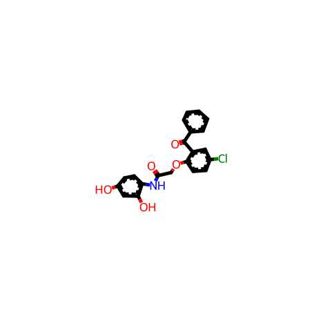 O=C(COc1ccc(Cl)cc1C(=O)c1ccccc1)Nc1ccc(O)cc1O